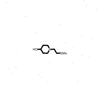 CSCCN1CCC(O)CC1